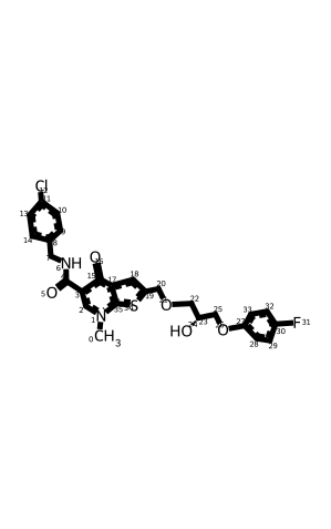 Cn1cc(C(=O)NCc2ccc(Cl)cc2)c(=O)c2cc(COC[C@@H](O)COc3ccc(F)cc3)sc21